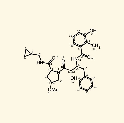 CO[C@@H]1C[C@@H](C(=O)NCC2CC2)N(C(=O)[C@@H](O)[C@H](Cc2ccccc2)NC(=O)c2cccc(O)c2C)C1